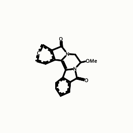 COC1CN2C(=O)c3ccccc3C2=C2c3ccccc3C(=O)N21